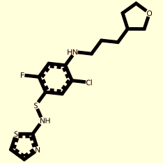 Fc1cc(NCCCC2CCOC2)c(Cl)cc1SNc1nccs1